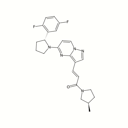 C[C@@H]1CCN(C(=O)/C=C/c2cnn3ccc(N4CCC[C@@H]4c4cc(F)ccc4F)nc23)C1